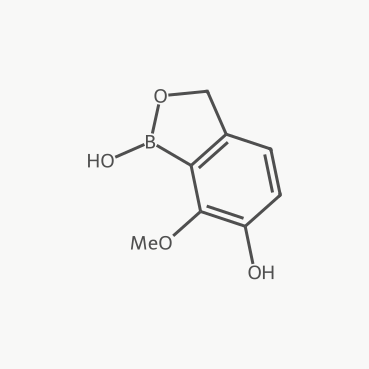 COc1c(O)ccc2c1B(O)OC2